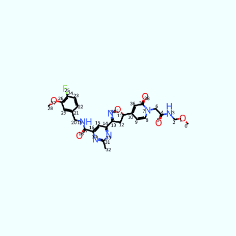 COCNC(=O)Cn1ccc(C2CC(c3cc(C(=O)NCc4ccc(F)c(OC)c4)nc(C)n3)=NO2)cc1=O